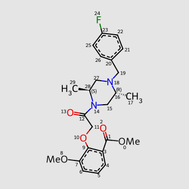 COC(=O)c1cccc(OC)c1OCC(=O)N1C[C@@H](C)N(Cc2ccc(F)cc2)C[C@@H]1C